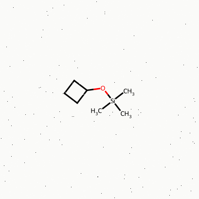 C[Si](C)(C)OC1CCC1